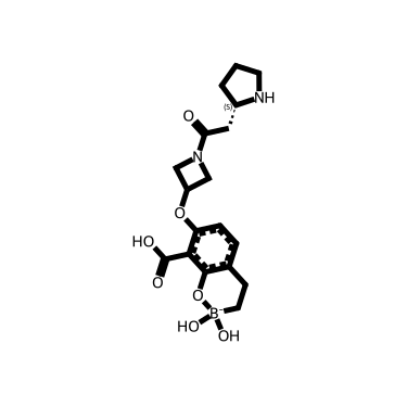 O=C(O)c1c(OC2CN(C(=O)C[C@@H]3CCCN3)C2)ccc2c1O[B-](O)(O)CC2